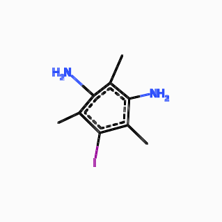 Cc1c(N)c(C)c(I)c(C)c1N